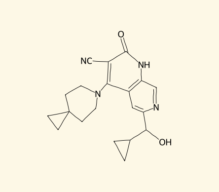 N#Cc1c(N2CCC3(CC2)CC3)c2cc(C(O)C3CC3)ncc2[nH]c1=O